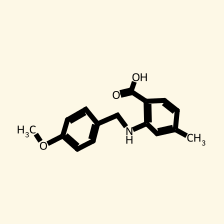 COc1ccc(CNc2cc(C)ccc2C(=O)O)cc1